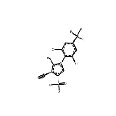 N#Cc1c(S(=O)(=O)Cl)cn(-c2c(Cl)cc(C(F)(F)F)cc2Cl)c1Cl